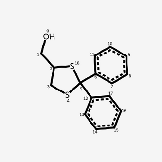 OCC1CSC(c2ccccc2)(c2ccccc2)S1